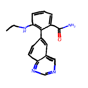 CCNc1cccc(C(N)=O)c1-c1ccc2ncncc2c1